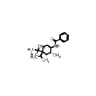 CC(C)C1(C(C)(C)C)CCC(NC(=O)c2ccccc2)[C@H](C)C1